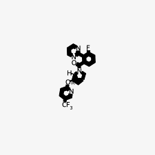 O=C(c1cccc(F)c1-c1ncccn1)N1CC2C[C@@H](Oc3ccc(C(F)(F)F)cn3)[C@@H]1C2